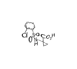 O=C(O)C1(NS(=O)(=O)c2ccccc2Cl)CC1